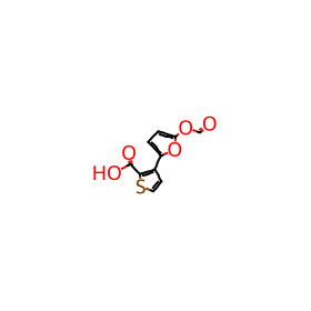 O=COc1ccc(-c2ccsc2C(=O)O)o1